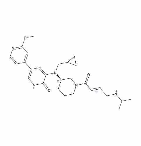 COc1cc(-c2c[nH]c(=O)c(N(CC3CC3)[C@@H]3CCCN(C(=O)/C=C/CNC(C)C)C3)c2)ccn1